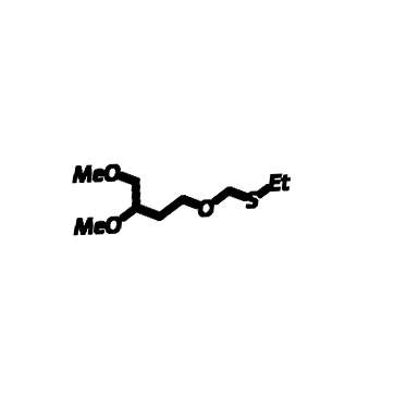 CCSCOCCC(COC)OC